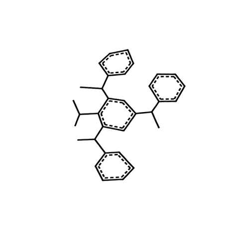 CC(C)c1c(C(C)c2ccccc2)cc(C(C)c2ccccc2)cc1C(C)c1ccccc1